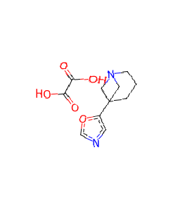 O=C(O)C(=O)O.c1ncc(C23CCCN(C2)C3)o1